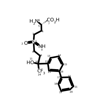 N=S(=O)(CC[C@H](N)C(=O)O)CCC(O)(c1cccc(-c2ccccc2)c1)C(F)(F)F